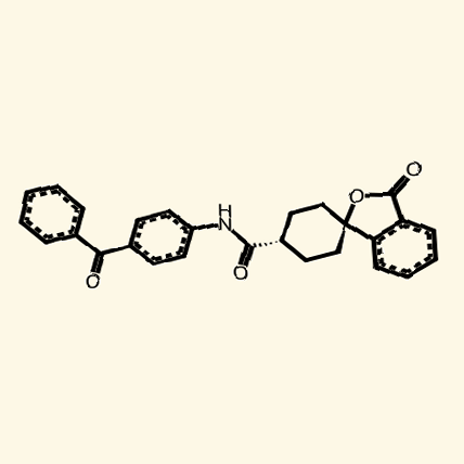 O=C(c1ccccc1)c1ccc(NC(=O)[C@H]2CC[C@@]3(CC2)OC(=O)c2ccccc23)cc1